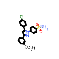 NS(=O)(=O)c1ccc(-n2nc(-c3cccc(C(=O)O)c3)cc2-c2ccc(Cl)cc2)cc1